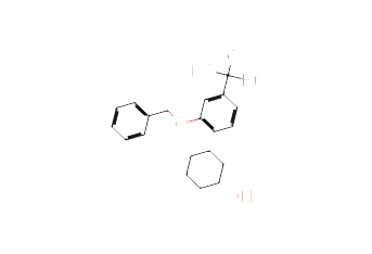 CCC(C)(C)c1ccc([C@H]2CCC[C@@H](O)C2)c(OCc2ccccc2)c1